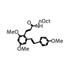 CCCCCCCCNC(=O)C=Cc1c(/C=C/c2ccc(OC)cc2)cc(OC)cc1OC